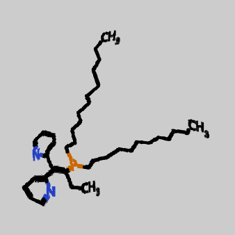 CCCCCCCCCCCCP(CCCCCCCCCCCC)C(CC)=C(c1ccccn1)c1ccccn1